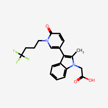 Cc1c(-c2ccc(=O)n(CCCC(F)(F)F)c2)c2ccccc2n1CC(=O)O